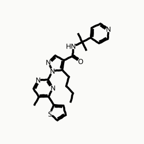 CCCCc1c(C(=O)NC(C)(C)c2ccncc2)cnn1-c1ncc(C)c(-c2cccs2)n1